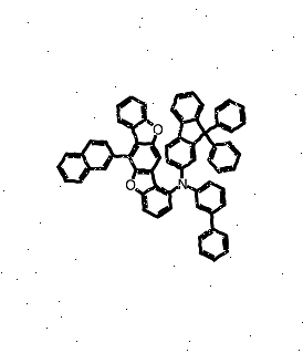 c1ccc(-c2cccc(N(c3ccc4c(c3)C(c3ccccc3)(c3ccccc3)c3ccccc3-4)c3cccc4oc5c(-c6ccc7ccccc7c6)c6c(cc5c34)oc3ccccc36)c2)cc1